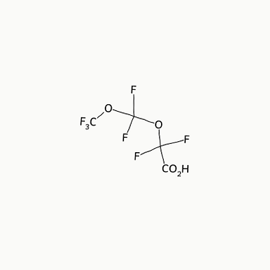 O=C(O)C(F)(F)OC(F)(F)OC(F)(F)F